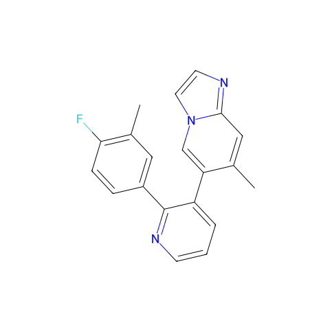 Cc1cc(-c2ncccc2-c2cn3ccnc3cc2C)ccc1F